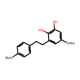 COc1ccc(CCc2cc(OC)cc(O)c2O)cc1